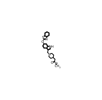 COC(=O)CC1CCN(Cc2c[nH]c3cc(Oc4nc5ccccc5s4)ccc23)CC1